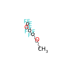 CCCCCC1CCC(CCc2cc(F)c(-c3cc(F)c(C(F)(F)Oc4cc(F)c(F)c(F)c4)c(F)c3)c(F)c2)OC1